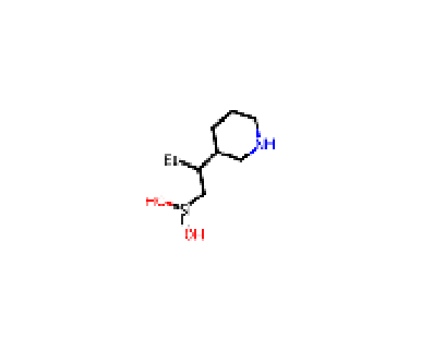 CCC(C[SiH](O)O)C1CCCNC1